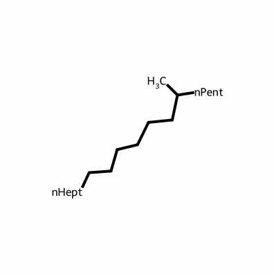 [CH2]CCCCC(C)CCCCCCCCCCCCC